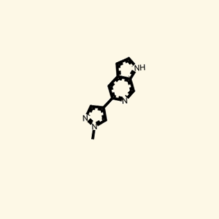 Cn1cc(-c2cc3cc[nH]c3cn2)cn1